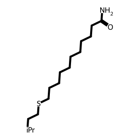 CC(C)CCSCCCCCCCCCCC(N)=O